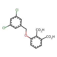 O=C(O)c1cccc(OCc2cc(Cl)cc(Cl)c2)c1C(=O)O